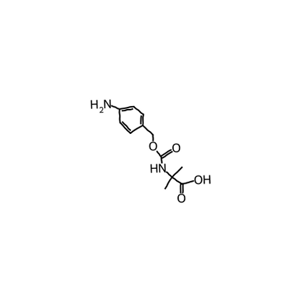 CC(C)(NC(=O)OCc1ccc(N)cc1)C(=O)O